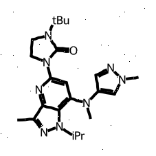 Cc1nn(C(C)C)c2c(N(C)c3cnn(C)c3)cc(N3CCN(C(C)(C)C)C3=O)nc12